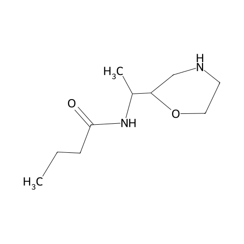 CCCC(=O)NC(C)C1CNCCO1